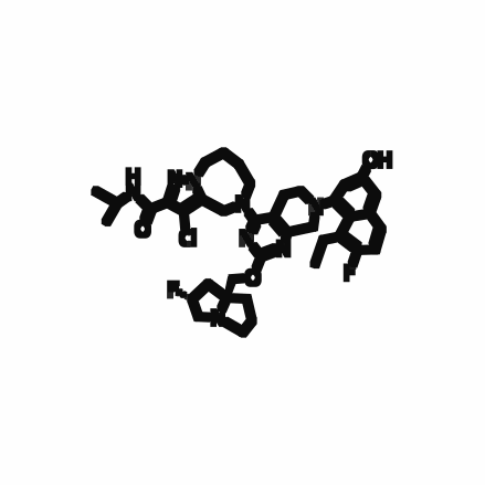 CCc1c(F)ccc2cc(O)cc(N3CCc4c(nc(OC[C@@]56CCCN5C[C@H](F)C6)nc4N4CCCCn5nc(C(=O)NC(C)C)c(Cl)c5C4)C3)c12